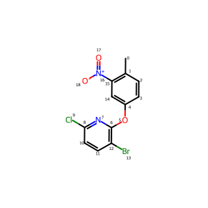 Cc1ccc(Oc2nc(Cl)ccc2Br)cc1[N+](=O)[O-]